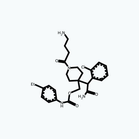 CCc1ccc(NC(=O)OCC2(C(C(N)=O)c3ccccc3Cl)CCN(C(=O)CCCN)CC2)cc1